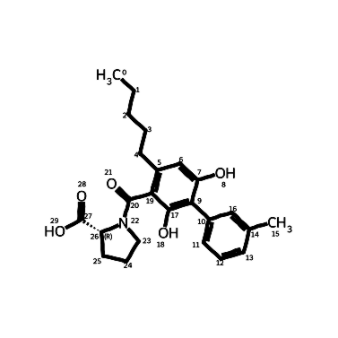 CCCCCc1cc(O)c(-c2cccc(C)c2)c(O)c1C(=O)N1CCC[C@@H]1C(=O)O